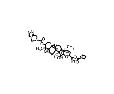 CC(C)[C@@H](OC(=O)N1CCC1)C1C[C@@H](C)[C@H]2C(O1)[C@H](O)[C@@]1(C)C3CC[C@H]4C(C)(C)C(OC(=O)N5CCn6cnnc6C5)CC[C@@]45C[C@@]35CC[C@]21C